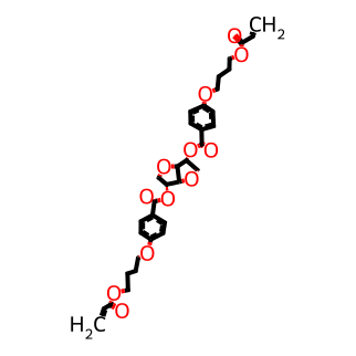 C=CC(=O)OCCCCOc1ccc(C(=O)O[C@H]2COC3C2OC[C@@H]3OC(=O)c2ccc(OCCCCOC(=O)C=C)cc2)cc1